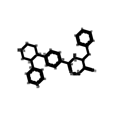 COC(=O)C(Cc1ccccc1)NC(=O)c1ccc(N2CCNCC2c2ccncc2)cc1